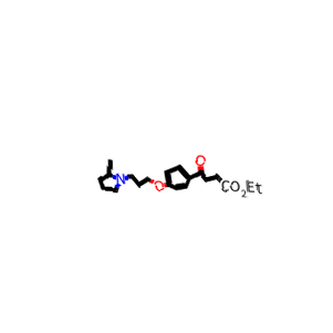 CCOC(=O)CCC(=O)c1ccc(OCCCN2CCCC2C)cc1